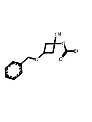 CCC(=O)OC1(C#N)CC(OCc2ccccc2)C1